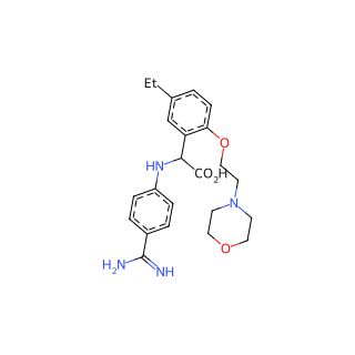 CCc1ccc(OCCN2CCOCC2)c(C(Nc2ccc(C(=N)N)cc2)C(=O)O)c1